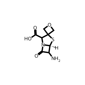 NC1C(=O)N2C(C(=O)O)C3(COC3)S[C@@H]12